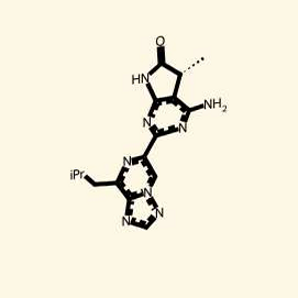 CC(C)Cc1nc(-c2nc(N)c3c(n2)NC(=O)[C@@H]3C)cn2ncnc12